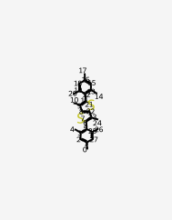 Cc1cc(C)c(-c2sc3c(C)c(-c4c(C)cc(C)cc4C)sc3c2C)c(C)c1